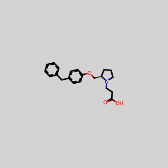 O=C(O)CCN1CCC[C@@H]1COc1ccc(Cc2ccccc2)cc1